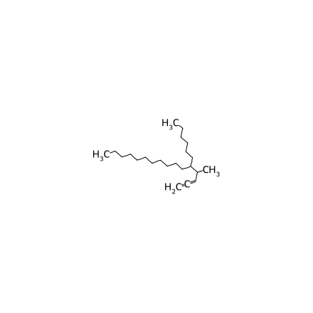 C=C=CC(C)C(CCCCCC)CCCCCCCCCCC